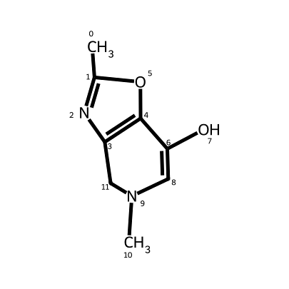 Cc1nc2c(o1)C(O)=CN(C)C2